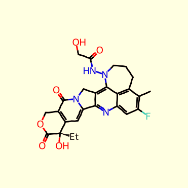 CC[C@@]1(O)C(=O)OCc2c1cc1n(c2=O)Cc2c-1nc1cc(F)c(C)c3c1c2N(NC(=O)CO)CCC3